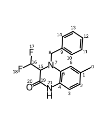 Cc1ccc2c(c1)N(Cc1ccccc1)C(C(F)F)C(=O)N2